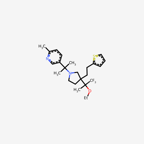 CCOC(C)(C(F)(F)F)C1(CCc2cccs2)CCN(C(C)(C)c2ccc(C)nc2)C1